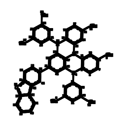 CC(C)(C)c1cc(N2c3ccc(C(C)(C)C)cc3B3c4cc(C(C)(C)C)ccc4N(c4cc(C(C)(C)C)cc(C(C)(C)C)c4)c4cc(-c5ccc6oc7ccccc7c6c5)cc2c43)cc(C(C)(C)C)c1